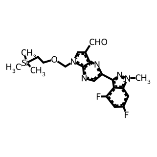 Cn1nc(-c2cnc3c(n2)c(C=O)cn3COCC[Si](C)(C)C)c2c(F)cc(F)cc21